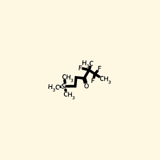 CC(F)(F)C(C)(F)C(=O)CC[Si](C)(C)C